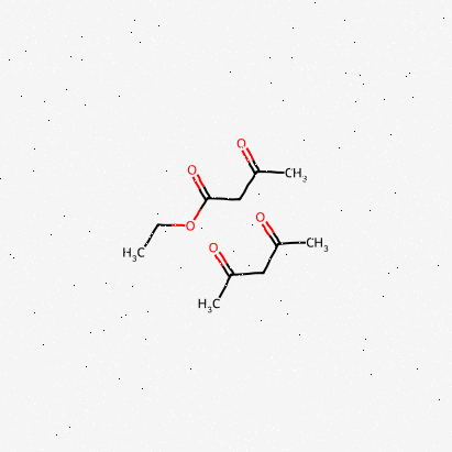 CC(=O)CC(C)=O.CCOC(=O)CC(C)=O